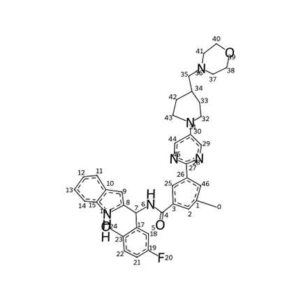 Cc1cc(C(=O)NC(c2cc3ccccc3[nH]2)c2cc(F)ccc2O)cc(-c2ncc(N3CCC(CN4CCOCC4)CC3)cn2)c1